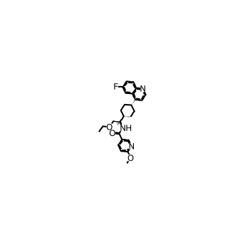 CCOC[C@H](NC(=O)c1ccc(OC)nc1)[C@H]1CC[C@@H](c2ccnc3ccc(F)cc32)CC1